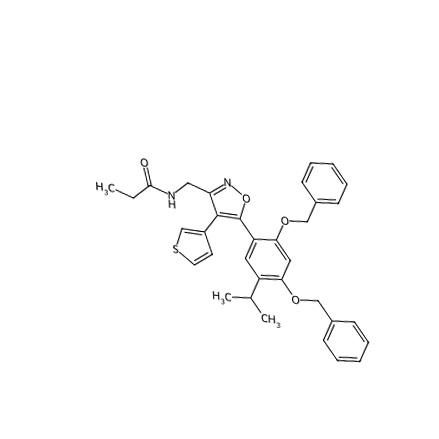 CCC(=O)NCc1noc(-c2cc(C(C)C)c(OCc3ccccc3)cc2OCc2ccccc2)c1-c1ccsc1